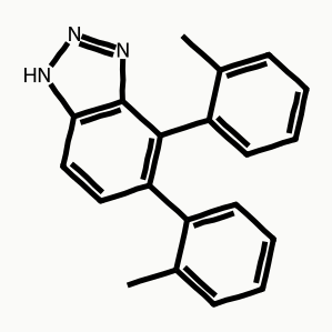 Cc1ccccc1-c1ccc2[nH]nnc2c1-c1ccccc1C